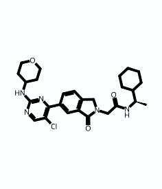 C[C@@H](NC(=O)CN1Cc2ccc(-c3nc(NC4CCOCC4)ncc3Cl)cc2C1=O)C1CCCCC1